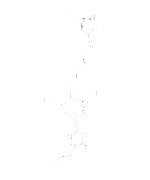 Cc1cc(CCCCCOc2c(C)cc(-c3nnn(CCO)n3)cc2C)on1